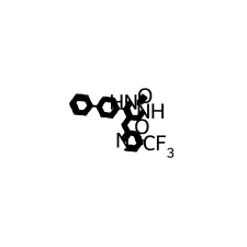 O=c1[nH]c(=O)c(Cc2cc(C(F)(F)F)ccn2)c([C@H]2CC[C@H](C3C=CC=CC3)CC2)[nH]1